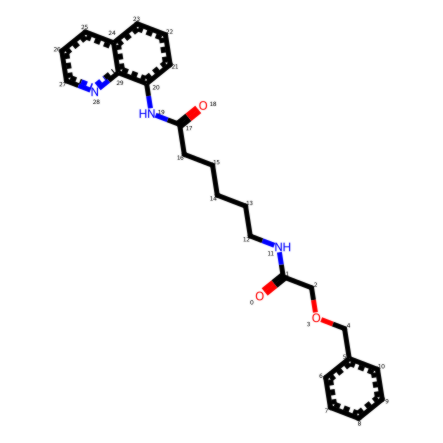 O=C(COCc1ccccc1)NCCCCCC(=O)Nc1cccc2cccnc12